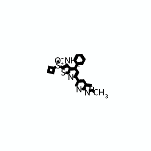 Cn1cc2cc(-c3cc(-c4ccccc4)c4c(N)c([S+]([O-])C5CCC5)sc4n3)cnc2n1